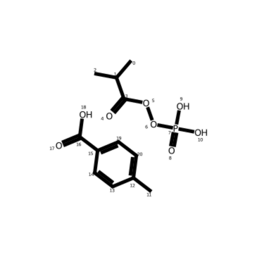 CC(C)C(=O)OOP(=O)(O)O.Cc1ccc(C(=O)O)cc1